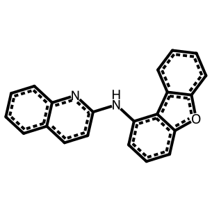 c1ccc2nc(Nc3cccc4oc5ccccc5c34)ccc2c1